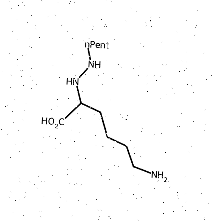 CCCCCNNC(CCCCN)C(=O)O